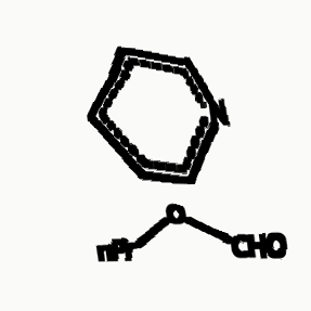 CCCOC=O.c1ccncc1